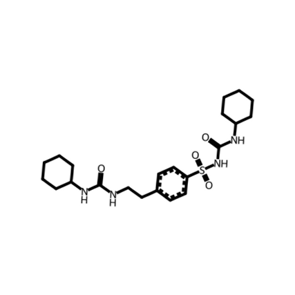 O=C(NCCc1ccc(S(=O)(=O)NC(=O)NC2CCCCC2)cc1)NC1CCCCC1